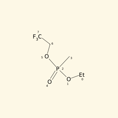 CCOP(C)(=O)OCC(F)(F)F